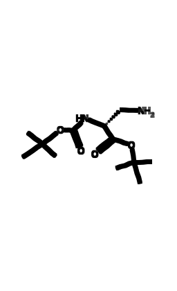 CC(C)(C)OC(=O)N[C@H](CN)C(=O)OC(C)(C)C